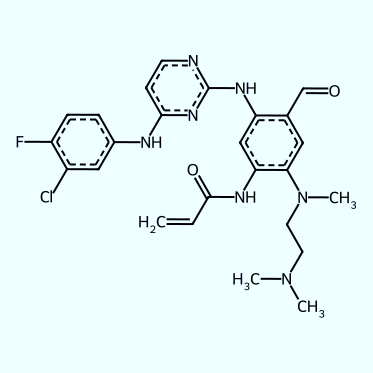 C=CC(=O)Nc1cc(Nc2nccc(Nc3ccc(F)c(Cl)c3)n2)c(C=O)cc1N(C)CCN(C)C